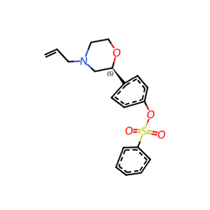 C=CCN1CCO[C@@H](c2ccc(OS(=O)(=O)c3ccccc3)cc2)C1